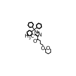 Cc1c(C(=O)CCCOC2CCCCO2)ncn1C(c1ccccc1)(c1ccccc1)c1ccccc1